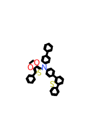 c1ccc(-c2ccc(N(c3ccc(-c4cccc5c4sc4ccccc45)cc3)c3sc(-c4ccccc4)c4c3OCCO4)cc2)cc1